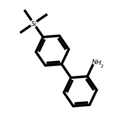 C[Si](C)(C)c1ccc(-c2ccccc2N)cc1